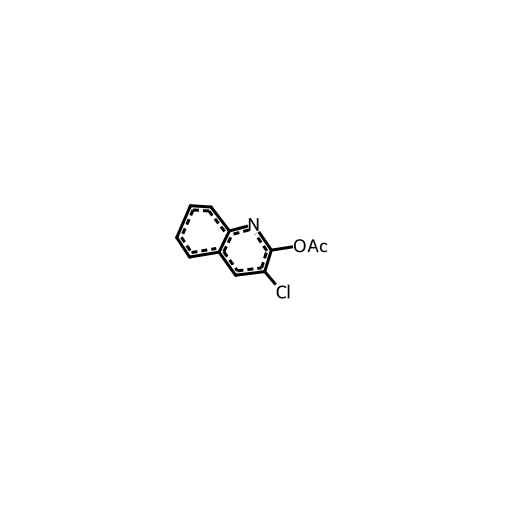 CC(=O)Oc1nc2ccccc2cc1Cl